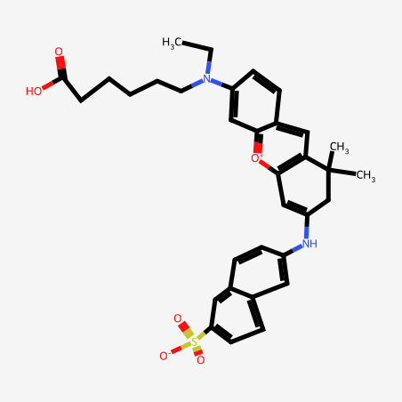 CCN(CCCCCC(=O)O)c1ccc2cc3c([o+]c2c1)C=C(Nc1ccc2cc(S(=O)(=O)[O-])ccc2c1)CC3(C)C